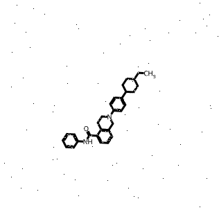 CCC1CCC(c2ccc(N3CCc4c(cccc4C(=O)Nc4ccccc4)C3)cc2)CC1